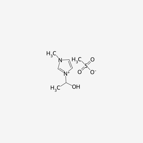 CC(O)[n+]1ccn(C)c1.CS(=O)(=O)[O-]